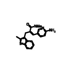 CNC(=O)C(=Cc1ccc(N)nc1)Cc1c(C)sc2ccccc12